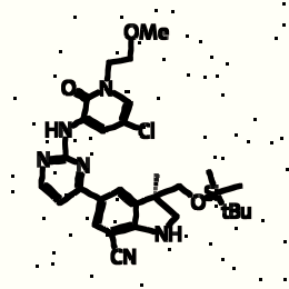 COCCn1cc(Cl)cc(Nc2nccc(-c3cc(C#N)c4c(c3)[C@@](C)(CO[Si](C)(C)C(C)(C)C)CN4)n2)c1=O